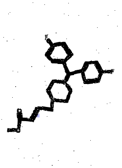 COC(=O)/C=C/CN1CCN(C(c2ccc(F)cc2)c2ccc(F)cc2)CC1